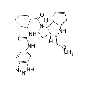 COC[C@@H]1Nc2ccccc2[C@H]2[C@H]1CCN2C(=O)[C@H]1CCCC[C@H]1NC(=O)Nc1ccc2nn[nH]c2c1